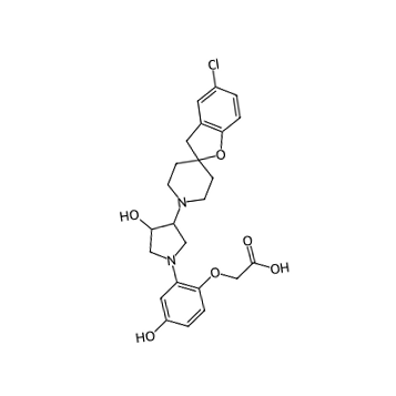 O=C(O)COc1ccc(O)cc1N1CC(O)C(N2CCC3(CC2)Cc2cc(Cl)ccc2O3)C1